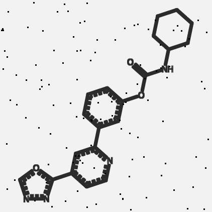 O=C(NC1CCCCC1)Oc1cccc(-c2cc(-c3nnco3)ccn2)c1